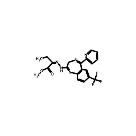 CC/C(=N/NC1=Nc2ccc(C(F)(F)F)cc2C(c2ccccn2)=NC1)C(=O)OC